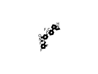 O=c1ncn(Cc2c(F)cc(F)cc2F)c2ccc(Oc3cccc(-c4cccc5[nH]ccc45)c3C(F)(F)F)cc12